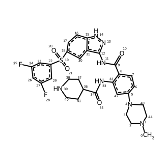 CN1CCN(c2ccc(C(=O)Nc3n[nH]c4ccc(S(=O)(=O)c5cc(F)cc(F)c5)cc34)c(NC(=O)C3CCNCC3)c2)CC1